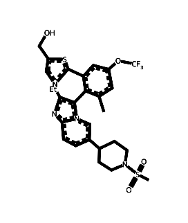 CCc1nc2ccc(C3CCN(S(C)(=O)=O)CC3)cn2c1-c1c(C)cc(OC(F)(F)F)cc1-c1ncc(CO)s1